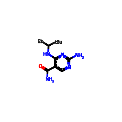 CCC(Nc1nc(N)ncc1C(N)=O)C(C)(C)C